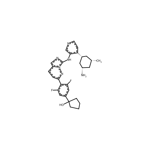 C[C@@H]1C[C@H](N)C[C@H](c2ccncc2Nc2ncc3ccc(-c4c(F)cc(C5(O)CCCC5)cc4F)nn23)C1